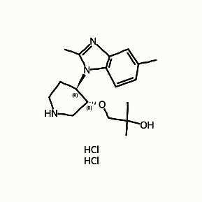 Cc1ccc2c(c1)nc(C)n2[C@@H]1CCNC[C@H]1OCC(C)(C)O.Cl.Cl